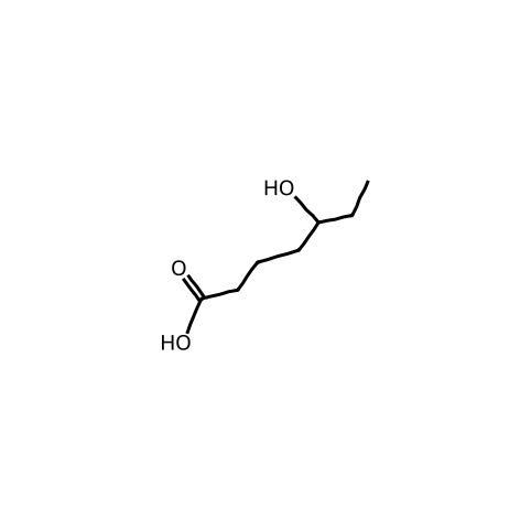 CCC(O)CCCC(=O)O